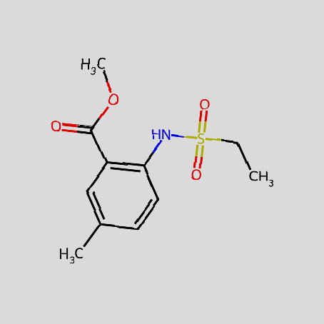 CCS(=O)(=O)Nc1ccc(C)cc1C(=O)OC